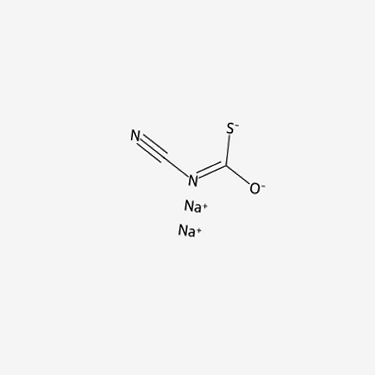 N#CN=C([O-])[S-].[Na+].[Na+]